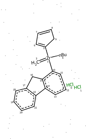 Cl.Cl.[CH2]=[Zr]([CH2]CCC)([C]1=CC=CC1)[c]1cccc2c1Cc1ccccc1-2